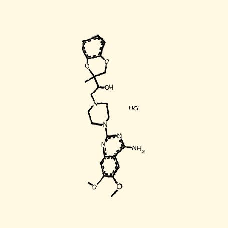 COc1cc2nc(N3CCN(CC(O)C4(C)COc5ccccc5O4)CC3)nc(N)c2cc1OC.Cl